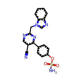 N#Cc1cnc(Cn2cnc3ccccc32)nc1-c1ccc(OS(N)(=O)=O)cc1